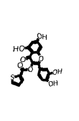 O=C(Oc1c(-c2ccc(O)c(O)c2)oc2cc(O)cc(O)c2c1=O)c1cccs1